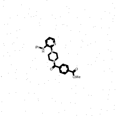 COC(=O)c1ccc(C(=O)N2CCN(c3ncccc3NC(C)C)CC2)cc1